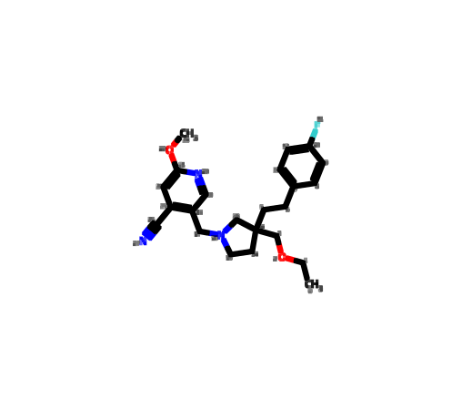 CCOCC1(CCc2ccc(F)cc2)CCN(Cc2cnc(OC)cc2C#N)C1